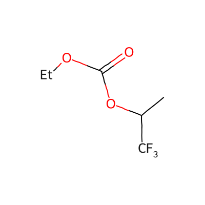 CCOC(=O)OC(C)C(F)(F)F